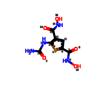 NC(=O)Nc1sc(C(=O)NO)cc1C(=O)NO